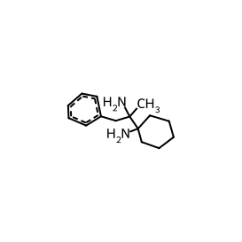 CC(N)(Cc1ccccc1)C1(N)CCCCC1